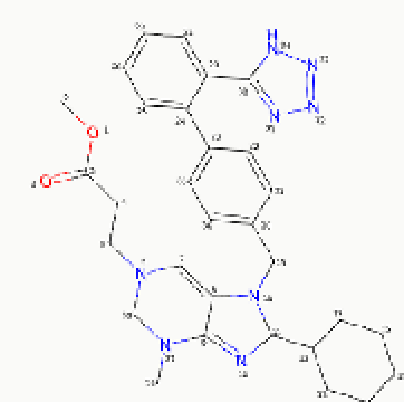 COC(=O)CCN1C=C2C(=NC(C3CCCCC3)N2Cc2ccc(-c3ccccc3-c3nnn[nH]3)cc2)N(C)C1